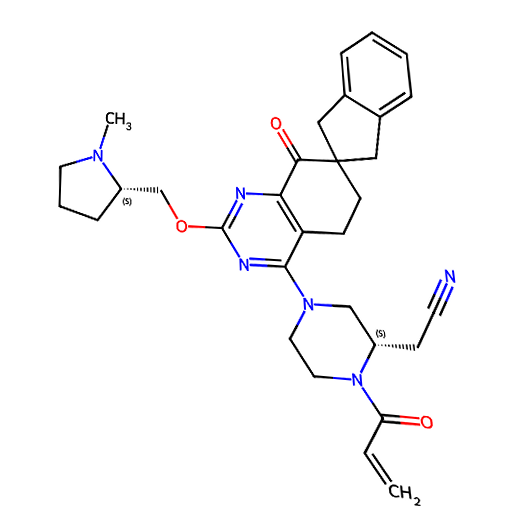 C=CC(=O)N1CCN(c2nc(OC[C@@H]3CCCN3C)nc3c2CCC2(Cc4ccccc4C2)C3=O)C[C@@H]1CC#N